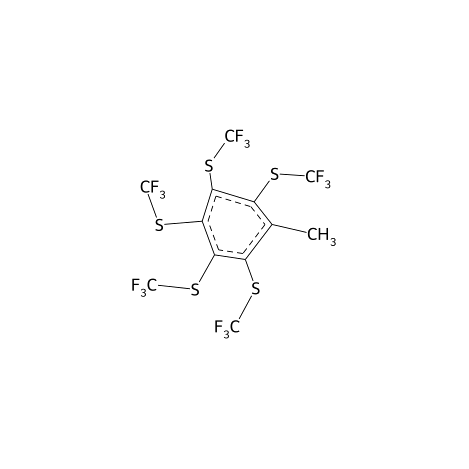 Cc1c(SC(F)(F)F)c(SC(F)(F)F)c(SC(F)(F)F)c(SC(F)(F)F)c1SC(F)(F)F